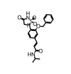 CC(C)NC(=O)C=Cc1ccc(N2CC(=O)NS2(=O)=O)c(OCc2ccccc2)c1